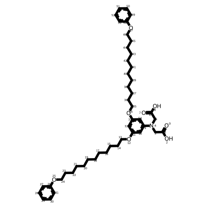 O=C(O)CN(CC(=O)O)c1cc(OCCCCCCCCCCCCOc2ccccc2)cc(OCCCCCCCCCCCCOc2ccccc2)c1